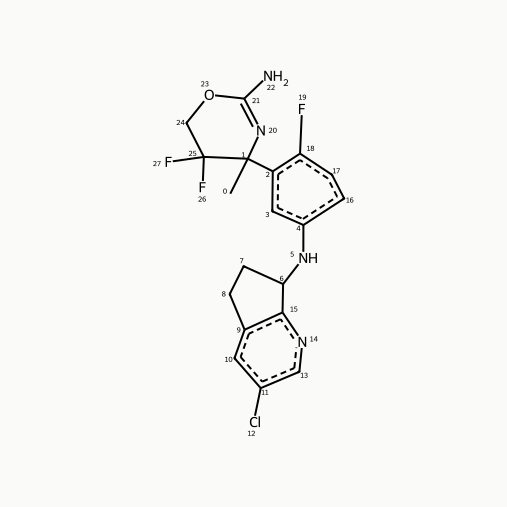 CC1(c2cc(NC3CCc4cc(Cl)cnc43)ccc2F)N=C(N)OCC1(F)F